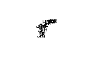 CCOC(=O)[C@H]1O[C@@H]1C(=O)N[C@@H](CC(C)C)C(=O)NCCCCNS(=O)(=O)c1ccc(F)cc1